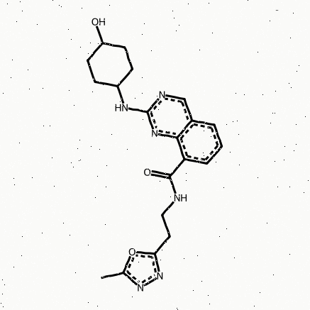 Cc1nnc(CCNC(=O)c2cccc3cnc(NC4CCC(O)CC4)nc23)o1